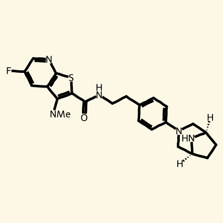 CNc1c(C(=O)NCCc2ccc(N3C[C@H]4CC[C@@H](C3)N4)cc2)sc2ncc(F)cc12